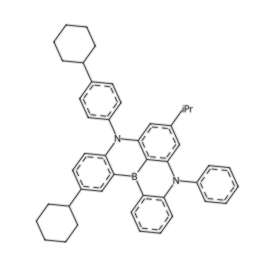 CC(C)c1cc2c3c(c1)N(c1ccc(C4CCCCC4)cc1)c1ccc(C4CCCCC4)cc1B3c1ccccc1N2c1ccccc1